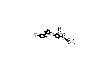 COCCOC(=O)c1ccc(NSc2cccc(-c3cc(F)ccc3F)c2)cc1O